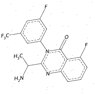 CC(N)c1nc2cccc(F)c2c(=O)n1-c1cc(F)cc(C(F)(F)F)c1